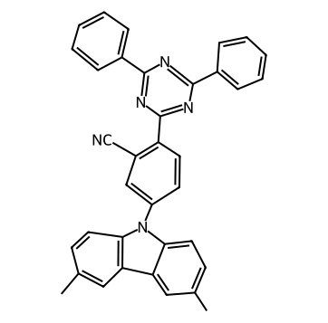 Cc1ccc2c(c1)c1cc(C)ccc1n2-c1ccc(-c2nc(-c3ccccc3)nc(-c3ccccc3)n2)c(C#N)c1